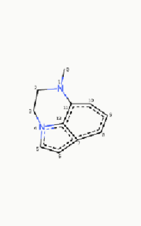 CN1CCn2ccc3cccc1c32